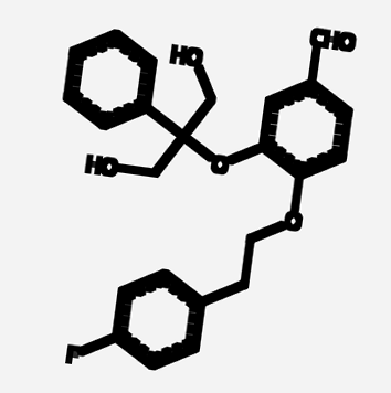 O=Cc1ccc(OCCc2ccc(F)cc2)c(OC(CO)(CO)c2ccccc2)c1